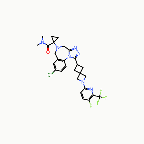 CN(C)C(=O)C1(N2Cc3cc(Cl)ccc3-n3c(nnc3C3CC4(C3)CN(c3ccc(F)c(C(F)(F)F)n3)C4)C2)CC1